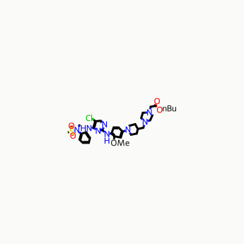 CCCCOC(=O)CN1CCN(CC2CCN(c3ccc(Nc4ncc(Cl)c(Nc5ccccc5N(C)S(C)(=O)=O)n4)c(OC)c3)CC2)CC1